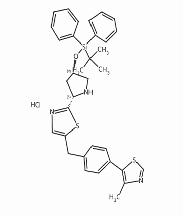 Cc1ncsc1-c1ccc(Cc2cnc([C@@H]3C[C@@H](O[Si](c4ccccc4)(c4ccccc4)C(C)(C)C)CN3)s2)cc1.Cl